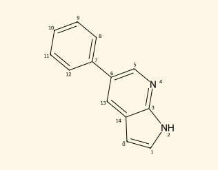 [c]1c[nH]c2ncc(-c3ccccc3)cc12